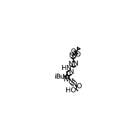 CCC(C)n1nc(N2CCN(C(=O)C(C)O)CC2)c2cnc(Nc3ccnc(-c4cnn(S(=O)(=O)C5CC5)c4)n3)cc21